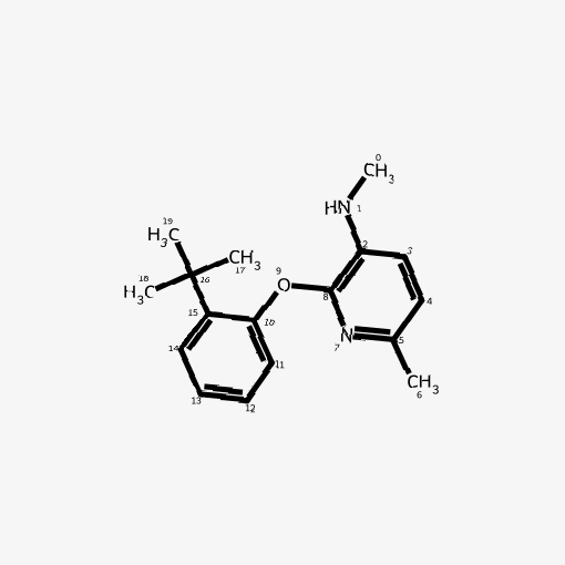 CNc1ccc(C)nc1Oc1ccccc1C(C)(C)C